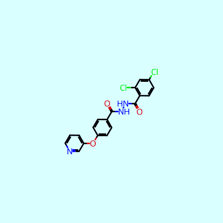 O=C(NNC(=O)c1ccc(Cl)cc1Cl)c1ccc(Oc2cccnc2)cc1